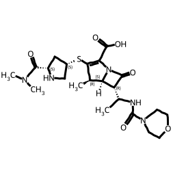 CC(NC(=O)N1CCOCC1)[C@H]1C(=O)N2C(C(=O)O)=C(S[C@@H]3CN[C@H](C(=O)N(C)C)C3)[C@H](C)[C@H]12